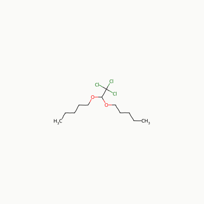 CCCCCOC(OCCCCC)C(Cl)(Cl)Cl